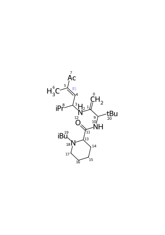 C=C(NC(/C=C(\C)C(C)=O)C(C)C)C(NC(=O)C1CCCCN1C(C)CC)C(C)(C)C